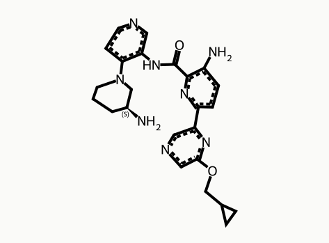 Nc1ccc(-c2cncc(OCC3CC3)n2)nc1C(=O)Nc1cnccc1N1CCC[C@H](N)C1